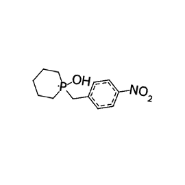 O=[N+]([O-])c1ccc(C[P]2(O)CCCCC2)cc1